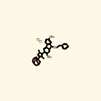 CC1=C(c2cc3c(cc2C(C)(C)C)[CH](/[Zr+2]=[CH]/Cc2ccccc2)c2cc(C(C)(C)C)ccc2-3)C(C)C=C1C12CC3CC(CC(C3)C1)C2.[Cl-].[Cl-]